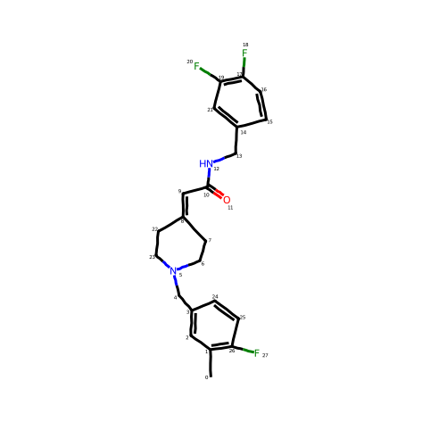 Cc1cc(CN2CCC(=CC(=O)NCc3ccc(F)c(F)c3)CC2)ccc1F